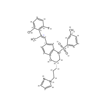 C/C(=C\c1ccc2c(c1)N(S(=O)(=O)c1cccc(C)c1)C[C@H](CCCn1cccn1)O2)c1c(F)cccc1Cl